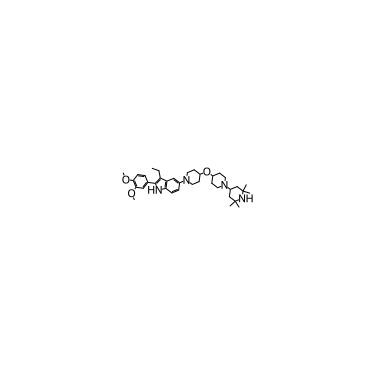 CCc1c(-c2ccc(OC)c(OC)c2)[nH]c2ccc(N3CCC(OC4CCN(C5CC(C)(C)NC(C)(C)C5)CC4)CC3)cc12